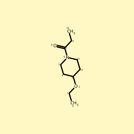 CCOC1CCN(C(=O)CC)CC1